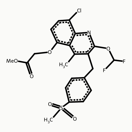 COC(=O)COc1ccc(Cl)c2nc(OC(F)F)c(Cc3ccc(S(C)(=O)=O)cc3)c(C)c12